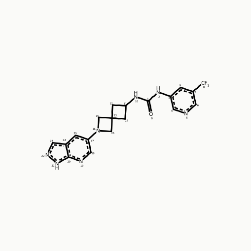 O=C(Nc1cncc(C(F)(F)F)c1)NC1CC2(C1)CN(c1cnc3[nH]ncc3c1)C2